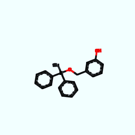 CC(C)(C)[Si](OCc1cccc(O)c1)(c1ccccc1)c1ccccc1